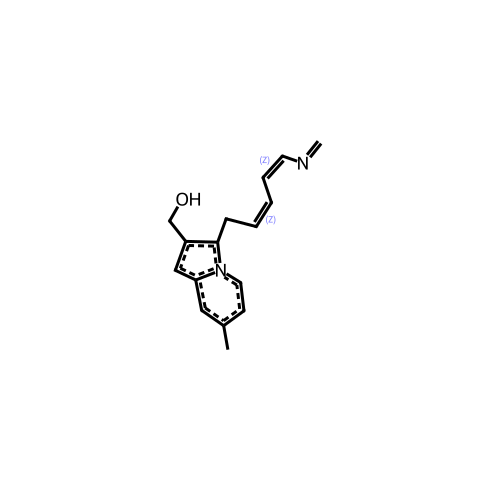 C=N/C=C\C=C/Cc1c(CO)cc2cc(C)ccn12